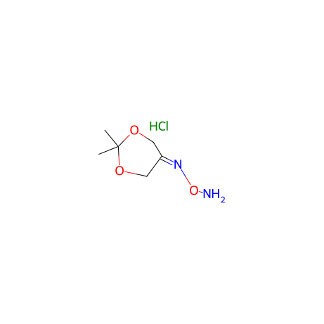 CC1(C)OCC(=NON)CO1.Cl